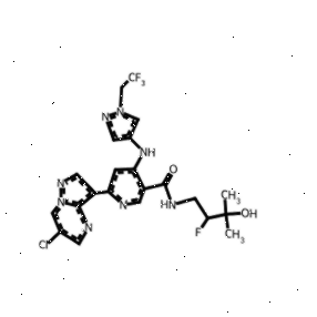 CC(C)(O)C(F)CNC(=O)c1cnc(-c2cnn3cc(Cl)cnc23)cc1Nc1cnn(CC(F)(F)F)c1